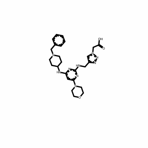 O=C(O)Cn1cc(CNc2nc(NC3CCN(Cc4ccccc4)CC3)cc(N3CCOCC3)n2)nn1